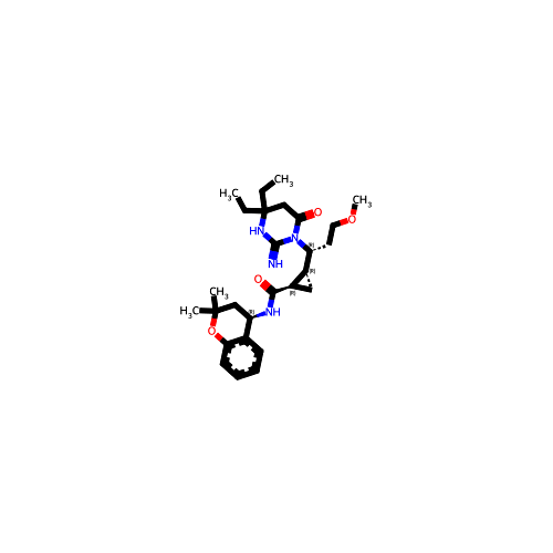 CCC1(CC)CC(=O)N([C@H](CCOC)[C@@H]2C[C@H]2C(=O)N[C@@H]2CC(C)(C)Oc3ccccc32)C(=N)N1